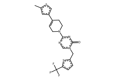 Cc1cc(C2=CCN(c3ncn(Cc4ccc(C(F)(F)F)s4)c(=O)n3)CC2)cs1